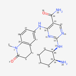 CN1C(=O)CCc2cc(Nc3nc(N[C@@H]4CCCC[C@@H]4N)ncc3C(N)=O)ccc21